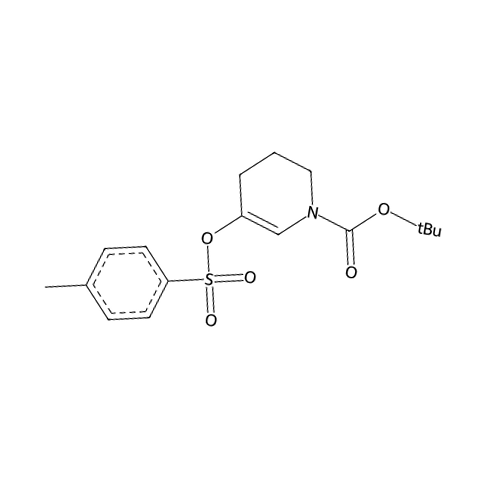 Cc1ccc(S(=O)(=O)OC2=CN(C(=O)OC(C)(C)C)CCC2)cc1